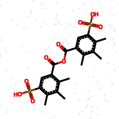 Cc1c(C(=O)OC(=O)c2cc(S(=O)(=O)O)c(C)c(C)c2C)cc(S(=O)(=O)O)c(C)c1C